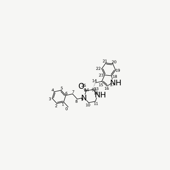 Cc1ccccc1CCN1CCN[C@@H](Cc2c[nH]c3ccccc23)C1=O